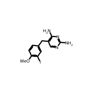 COc1ccc(Cc2cnc(N)nc2N)cc1I